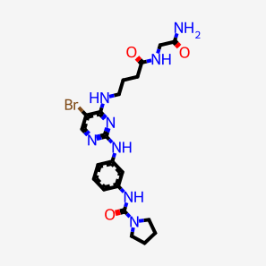 NC(=O)CNC(=O)CCCNc1nc(Nc2cccc(NC(=O)N3CCCC3)c2)ncc1Br